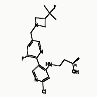 C[C@@H](O)CCNc1cc(Cl)ncc1-c1ncc(CN2CC(C(C)(C)F)C2)cc1F